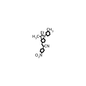 CCC1C(C)c2cc(/C=C(\C#N)c3ccc([N+](=O)[O-])cc3)ccc2N1c1cccc(C)c1